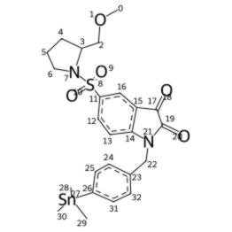 COCC1CCCN1S(=O)(=O)c1ccc2c(c1)C(=O)C(=O)N2Cc1cc[c]([Sn]([CH3])([CH3])[CH3])cc1